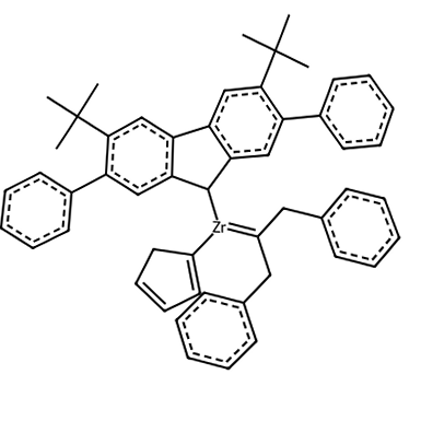 CC(C)(C)c1cc2c(cc1-c1ccccc1)[CH]([Zr]([C]1=CC=CC1)=[C](Cc1ccccc1)Cc1ccccc1)c1cc(-c3ccccc3)c(C(C)(C)C)cc1-2